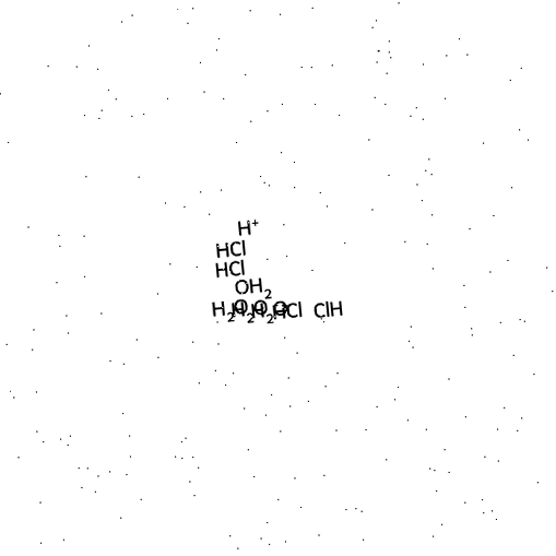 Cl.Cl.Cl.Cl.O.O.O.O.[H+]